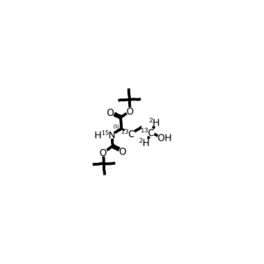 [2H][13C]([2H])(O)C[13CH2][C@@H]([15NH]C(=O)OC(C)(C)C)C(=O)OC(C)(C)C